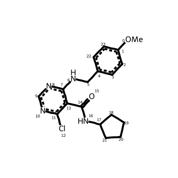 COc1ccc(CNc2ncnc(Cl)c2C(=O)NC2CCCC2)cc1